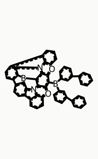 c1ccc(-c2cccc(B(c3cccc(-c4ccccc4)c3)c3c4oc5cccc6c7ccc8c9c7n(c4c4c7c3oc3cccc%10c%11ccc-8c(c%11n7c3%10)B49)c56)c2)cc1